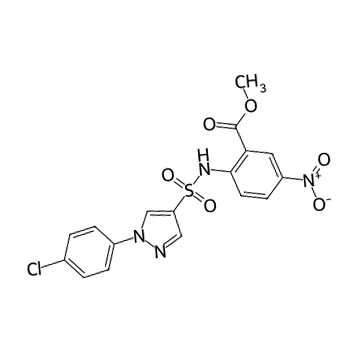 COC(=O)c1cc([N+](=O)[O-])ccc1NS(=O)(=O)c1cnn(-c2ccc(Cl)cc2)c1